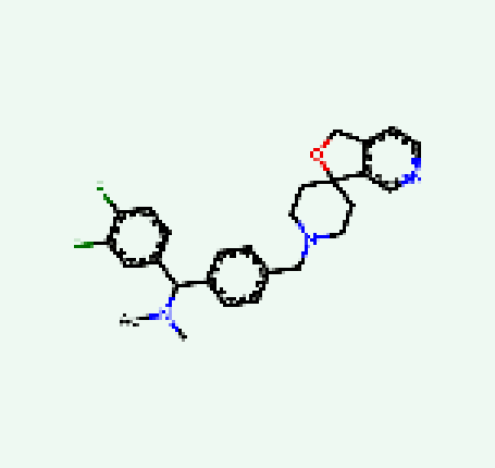 CC(=O)N(C)C(c1ccc(CN2CCC3(CC2)OCc2ccncc23)cc1)c1ccc(F)c(F)c1